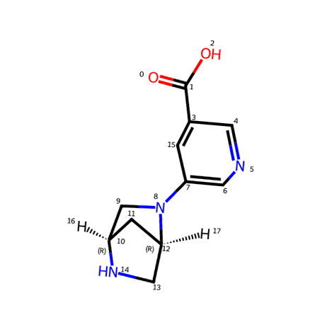 O=C(O)c1cncc(N2C[C@H]3C[C@@H]2CN3)c1